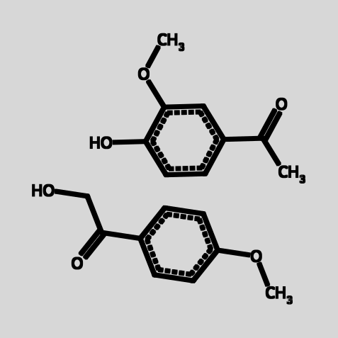 COc1cc(C(C)=O)ccc1O.COc1ccc(C(=O)CO)cc1